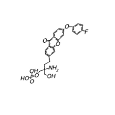 NC(CO)(CCc1ccc2c(=O)c3ccc(Oc4ccc(F)cc4)cc3oc2c1)COP(=O)(O)O